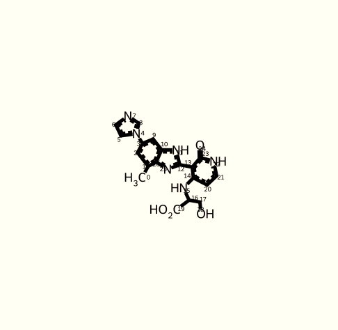 Cc1cc(-n2ccnc2)cc2[nH]c(-c3c(NC(CO)C(=O)O)cc[nH]c3=O)nc12